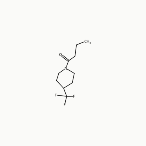 CCCC(=O)N1CCC(C(F)(F)F)CC1